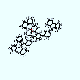 c1ccc(-c2c(-c3cccc(N(c4ccc(-c5cccc(-n6c7ccccc7c7ccccc76)c5)cc4)c4ccc(-c5cccc6cccc(-c7ccccc7)c56)cc4)c3)c3ccccc3c3ccccc23)cc1